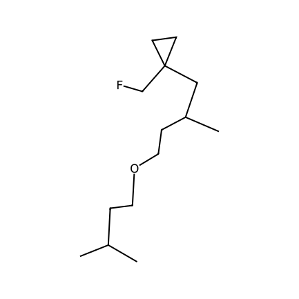 CC(C)CCOCCC(C)CC1(CF)CC1